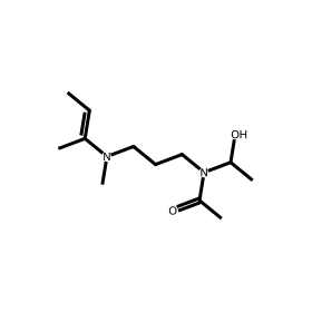 C/C=C(\C)N(C)CCCN(C(C)=O)C(C)O